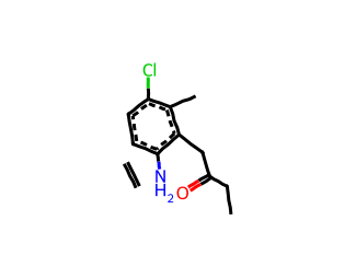 C=C.CCC(=O)Cc1c(N)ccc(Cl)c1C